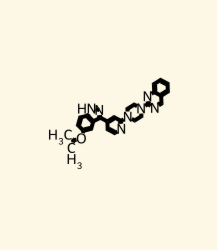 CC(C)Oc1ccc2[nH]nc(-c3ccnc(N4CCN(c5ncc6ccccc6n5)CC4)c3)c2c1